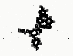 CCOC(=O)N1C[C@@H](S(=O)(=O)Nc2nnc(-c3ccc(C)o3)n2-c2c(OC)cccc2OC)CN(c2ncc(F)cn2)C1